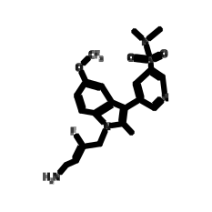 Cc1c(-c2cncc(S(=O)(=O)N(C)C)c2)c2cc(OC(F)(F)F)ccc2n1CC(F)=CCN